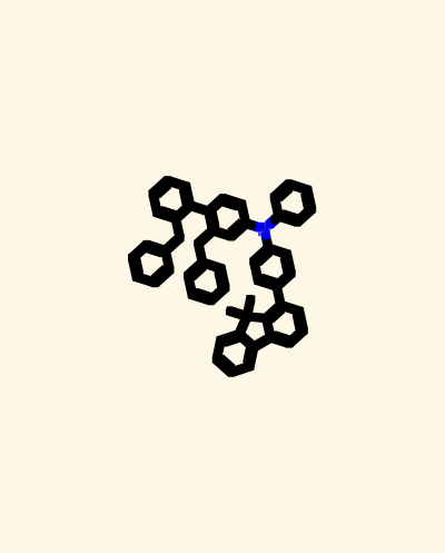 CC1(C)c2ccccc2-c2cccc(-c3ccc(N(c4ccccc4)c4ccc(-c5ccccc5Cc5ccccc5)c(Cc5ccccc5)c4)cc3)c21